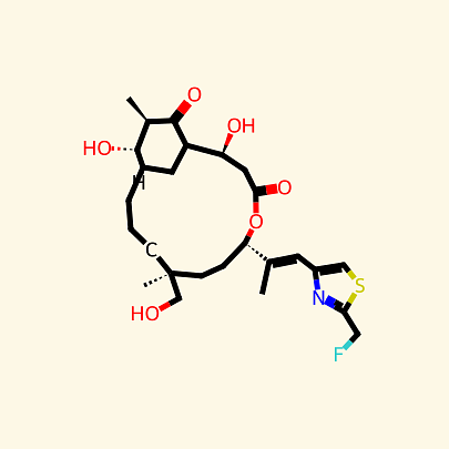 C/C(=C\c1csc(CF)n1)[C@@H]1CC[C@@](C)(CO)CCC[C@@H]2C[C@@](C)(C(=O)[C@H](C)[C@H]2O)[C@@H](O)CC(=O)O1